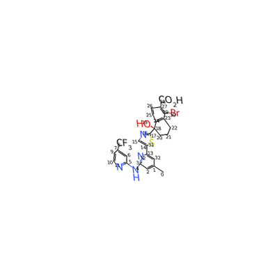 Cc1cc(Nc2cc(C(F)(F)F)ccn2)nc(-c2cnc([C@@]3(O)CCCc4c3ccc(C(=O)O)c4Br)s2)c1